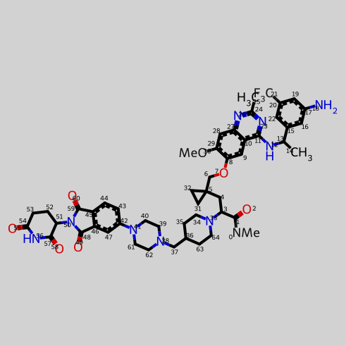 CNC(=O)C(CC1(COc2cc3c(NC(C)c4cc(N)cc(C(F)(F)F)c4)nc(C)nc3cc2OC)CC1)N1CCC(CN2CCN(c3ccc4c(c3)C(=O)N(C3CCC(=O)NC3=O)C4=O)CC2)CC1